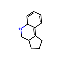 C1=CC2=C3CCCC3CNC2C=C1